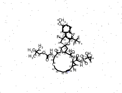 COc1ccc2nc(C(F)(F)F)c3c(c2c1)[C@H](F)C[C@]1(C[C@H]2C(=O)N[C@]4(C(=O)NS(=O)(=O)C5(C)CC5)C[C@H]4/C=C\CCCCC[C@H](NC(=O)OCC(C)(C)C)C(=O)N2C1)O3